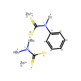 CCCCN(CCCC)C(=S)S.CCN(C(=S)S)c1ccccc1.[Zn+2].[Zn+2]